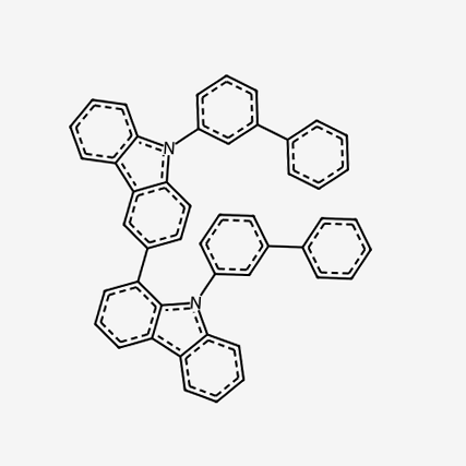 c1ccc(-c2cccc(-n3c4ccccc4c4cc(-c5cccc6c7ccccc7n(-c7cccc(-c8ccccc8)c7)c56)ccc43)c2)cc1